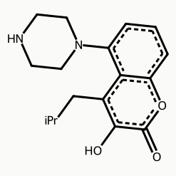 CC(C)Cc1c(O)c(=O)oc2cccc(N3CCNCC3)c12